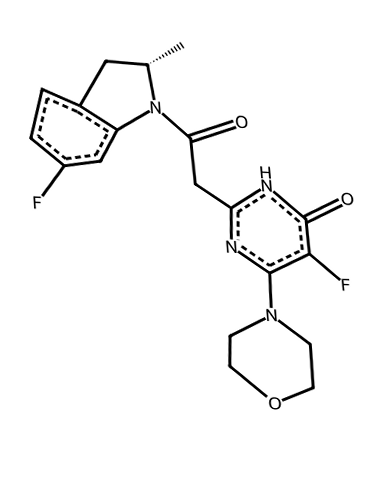 C[C@H]1Cc2ccc(F)cc2N1C(=O)Cc1nc(N2CCOCC2)c(F)c(=O)[nH]1